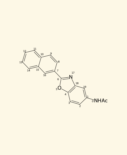 CC(=O)Nc1ccc2oc(-c3ccc4ccccc4c3)nc2c1